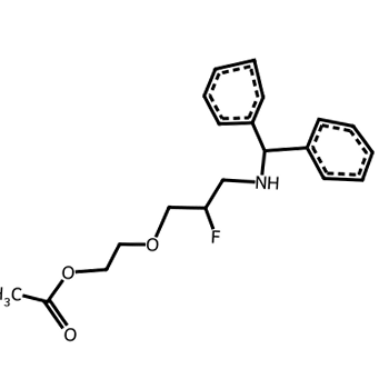 CC(=O)OCCOCC(F)CNC(c1ccccc1)c1ccccc1